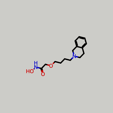 O=C(COCCCCN1CCc2ccccc2C1)NO